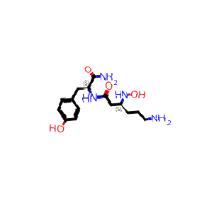 NCCC[C@@H](CC(=O)N[C@@H](Cc1ccc(O)cc1)C(N)=O)NO